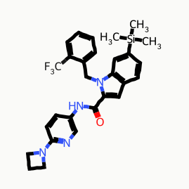 C[Si](C)(C)c1ccc2cc(C(=O)Nc3ccc(N4CCC4)nc3)n(Cc3ccccc3C(F)(F)F)c2c1